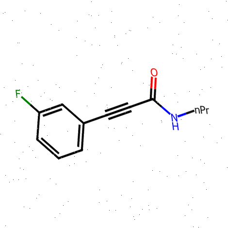 CCCNC(=O)C#Cc1cccc(F)c1